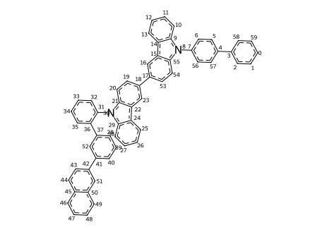 c1ccc(-c2ccc(-n3c4ccccc4c4cc(-c5ccc6c(c5)c5ccccc5n6-c5ccccc5-c5cccc(-c6ccc7ccccc7c6)c5)ccc43)cc2)cc1